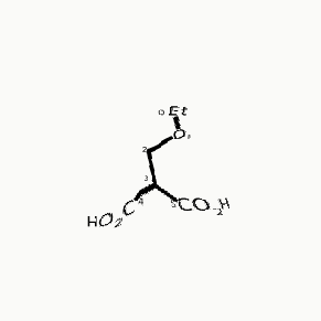 CCOCC(C(=O)O)C(=O)O